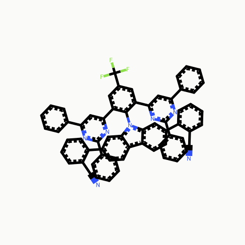 N#Cc1ccccc1-c1ccc2c3ccc(-c4ccccc4C#N)cc3n(-c3c(-c4cc(-c5ccccc5)nc(-c5ccccc5)n4)cc(C(F)(F)F)cc3-c3cc(-c4ccccc4)nc(-c4ccccc4)n3)c2c1